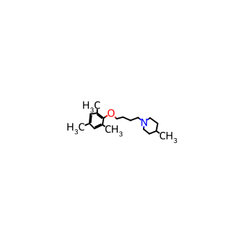 Cc1cc(C)c(OCCCCN2CCC(C)CC2)c(C)c1